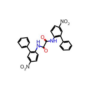 O=C(Nc1ccc([N+](=O)[O-])cc1-c1ccccc1)C(=O)Nc1ccc([N+](=O)[O-])cc1-c1ccccc1